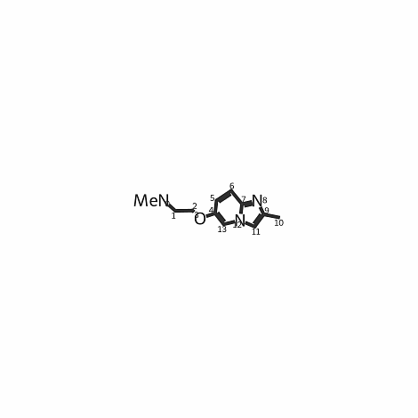 CNCCOc1ccc2nc(C)cn2c1